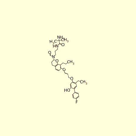 CCCc1c(OCCCOc2cc(O)c(-c3ccc(F)cc3)cc2CC)ccc2c1OC(N(C=O)CCCNC(=O)C(C)(C)N)CC2